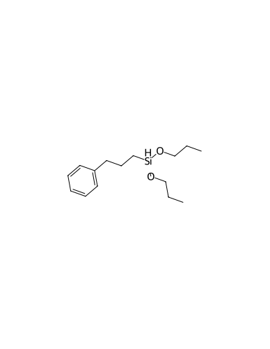 CCCO[SiH](CCCc1ccccc1)OCCC